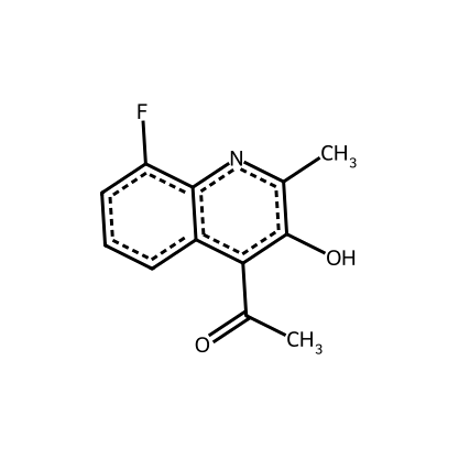 CC(=O)c1c(O)c(C)nc2c(F)cccc12